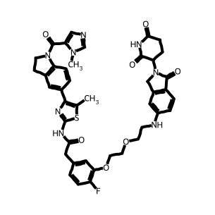 Cc1sc(NC(=O)Cc2ccc(F)c(OCCOCCNc3ccc4c(c3)CN(C3CCC(=O)NC3=O)C4=O)c2)nc1-c1ccc2c(c1)CCN2C(=O)c1cncn1C